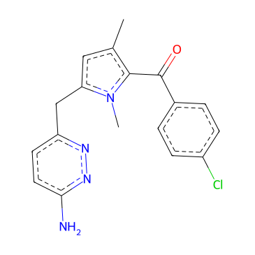 Cc1cc(Cc2ccc(N)nn2)n(C)c1C(=O)c1ccc(Cl)cc1